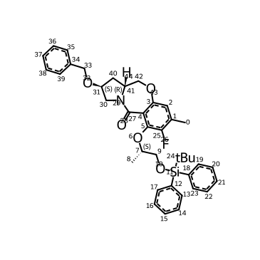 Cc1cc2c(c(O[C@@H](C)CO[Si](c3ccccc3)(c3ccccc3)C(C)(C)C)c1F)C(=O)N1C[C@@H](OCc3ccccc3)C[C@@H]1CO2